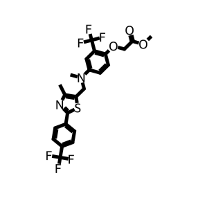 COC(=O)COc1ccc(N(C)Cc2sc(-c3ccc(C(F)(F)F)cc3)nc2C)cc1C(F)(F)F